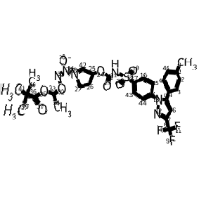 Cc1ccc(-c2cc(C(F)(F)F)nn2-c2ccc(S(=O)(=O)NC(=O)OC3CCN(/[N+]([O-])=N\OC(C)OC(=O)C(C)(C)C)C3)cc2)cc1